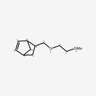 COCCOCC1CC2C=CC1C2